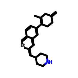 C=C1CCC(c2ccc(=C/CC)/c(=C\C(C)=C/C3CCNCC3)c2)=C(C)C1